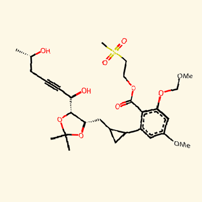 COCOc1cc(OC)cc(C2CC2C[C@@H]2OC(C)(C)O[C@@H]2C(O)C#CC[C@H](C)O)c1C(=O)OCCS(C)(=O)=O